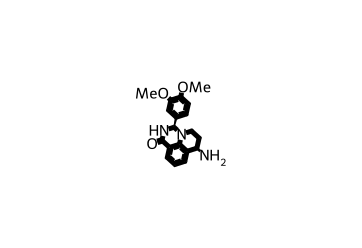 COc1ccc([C@@H]2NC(=O)c3cccc4c3N2CC[C@H]4N)cc1OC